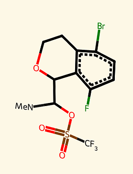 CNC(OS(=O)(=O)C(F)(F)F)C1OCCc2c(Br)ccc(F)c21